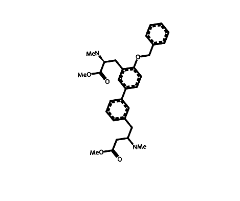 CNC(CC(=O)OC)Cc1cccc(-c2ccc(OCc3ccccc3)c(C[C@H](NC)C(=O)OC)c2)c1